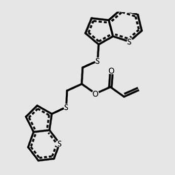 C=CC(=O)OC(CSc1ccc2cccsc1-2)CSc1ccc2cccsc1-2